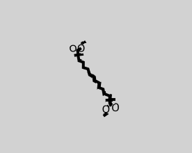 CCOC(=O)C(C)(C)CCCCC/C=C/CCCCCC(C)(C)C(=O)OCC